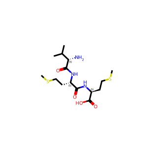 CSCC[C@H](NC(=O)[C@H](CCSC)NC(=O)[C@@H](N)C(C)C)C(=O)O